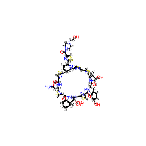 Cc1sc2nc1C(=O)N[C@@H]([C@H](O)c1ccccc1)c1nc(cs1)C(=O)N[C@@H](Cc1ccc(O)cc1)C(=O)N1C[C@H](O)[C@H](C)[C@H]1c1nc(cs1)-c1nc(cs1)-c1nc(-c3nc(C(=O)N4CCN(CCO)CC4)cs3)ccc1-c1nc(cs1)C(=O)N[C@H]2CC(N)=O